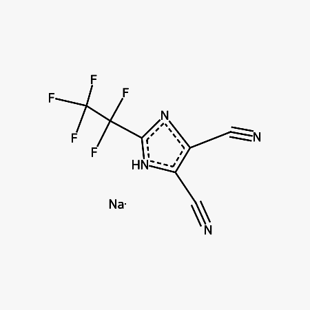 N#Cc1nc(C(F)(F)C(F)(F)F)[nH]c1C#N.[Na]